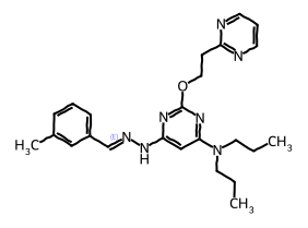 CCCN(CCC)c1cc(N/N=C/c2cccc(C)c2)nc(OCCc2ncccn2)n1